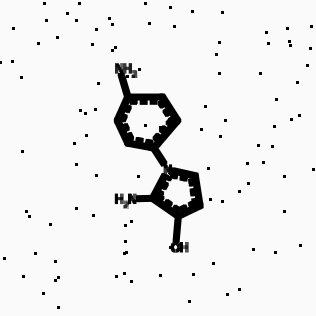 Nc1ccc(-n2ccc(O)c2N)cc1